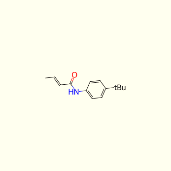 C/C=C/C(=O)Nc1ccc(C(C)(C)C)cc1